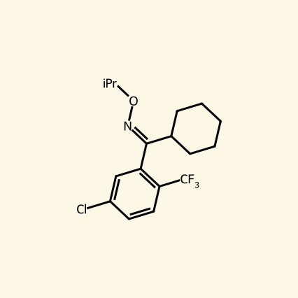 CC(C)O/N=C(/c1cc(Cl)ccc1C(F)(F)F)C1CCCCC1